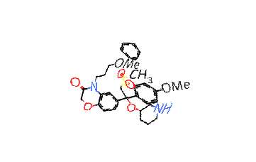 COCCCN1C(=O)COc2ccc(C(CS(C)(=O)=O)(O[C@@H]3CCCNC3)c3ccc(OC)cc3)cc21.c1ccccc1